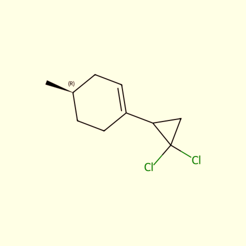 C[C@H]1CC=C(C2CC2(Cl)Cl)CC1